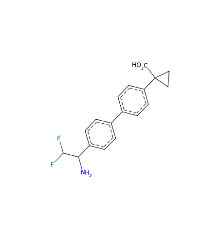 NC(c1ccc(-c2ccc(C3(C(=O)O)CC3)cc2)cc1)C(F)F